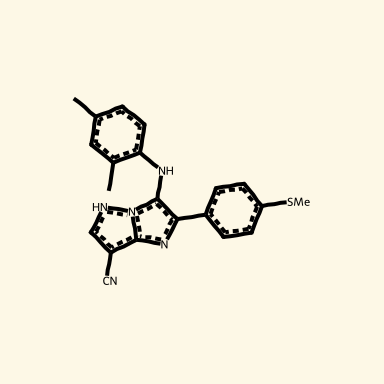 CSc1ccc(-c2nc3c(C#N)c[nH]n3c2Nc2ccc(C)cc2C)cc1